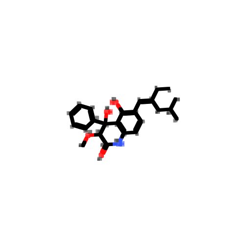 CCC(=Cc1ccc2c(c1O)C(O)(c1ccccc1)C(OC)C(=O)N2)CC(C)C